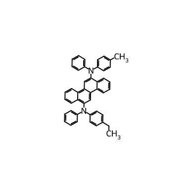 CCc1ccc(N(c2ccccc2)c2cc3c4ccccc4c(N(c4ccccc4)c4ccc(C)cc4)cc3c3ccccc23)cc1